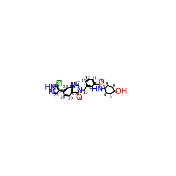 O=C(NC1CCC(O)CC1)c1cccc(Cn2cnc3cc(-c4cn[nH]c4Cl)ccc3c2=O)c1